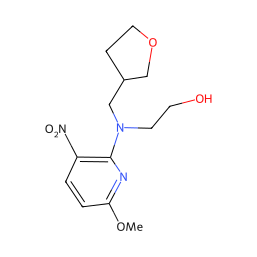 COc1ccc([N+](=O)[O-])c(N(CCO)CC2CCOC2)n1